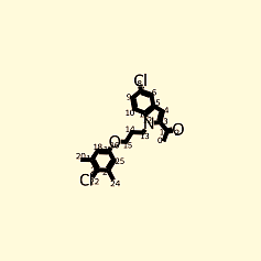 CC(=O)c1cc2cc(Cl)ccc2n1CCCOc1cc(C)c(Cl)c(C)c1